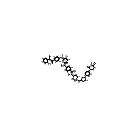 O=C1CCC(c2ccc(N3CCC(CN4CCC(NC(=O)c5ccc(Nc6ncc(F)c(Nc7ccc(C(=O)Nc8ccccc8Cl)cc7)n6)cc5)CC4)C3)cc2)C(=O)N1